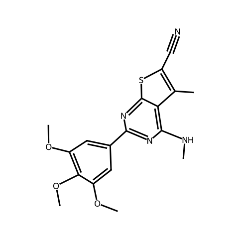 CNc1nc(-c2cc(OC)c(OC)c(OC)c2)nc2sc(C#N)c(C)c12